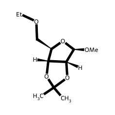 CCOC[C@H]1O[C@@H](OC)[C@@H]2OC(C)(C)O[C@@H]21